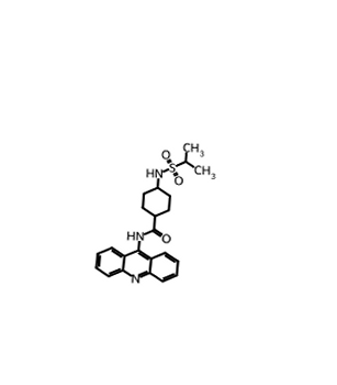 CC(C)S(=O)(=O)NC1CCC(C(=O)Nc2c3ccccc3nc3ccccc23)CC1